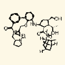 CCN1CCC[C@H]1CNC(=O)c1cccc(-c2cccc(NC3C[C@@H](CO)[C@@H]([C@H](C)O)[C@H]3C(=O)N[C@H]3C[C@H]4C[C@@H]([C@@H]3C)C4(C)C)c2OCC2CC2)c1